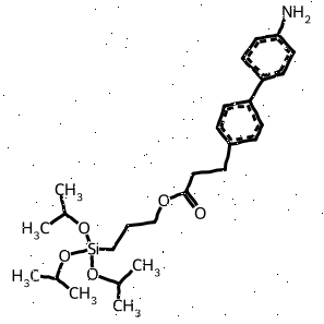 CC(C)O[Si](CCCOC(=O)CCc1ccc(-c2ccc(N)cc2)cc1)(OC(C)C)OC(C)C